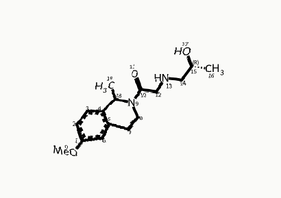 COc1ccc2c(c1)CCN(C(=O)CNC[C@@H](C)O)C2C